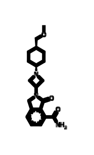 COC[C@H]1CC[C@H](N2CC(N3Cc4cccc(C(N)=O)c4C3=O)C2)CC1